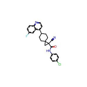 N#CC1(C(=O)Nc2ccc(Cl)cc2)CC12CCC(c1ccnc3ccc(F)cc13)CC2